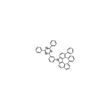 c1ccc(-c2nc(-c3ccccc3)nc(-c3cccc(-n4c5ccc(-c6ccccc6)c6c5c5c7c(cccc7ccc54)-c4ccccc4-6)c3)n2)cc1